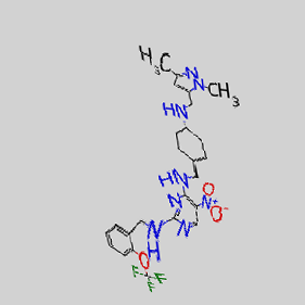 Cc1cc(CN[C@H]2CC[C@H](CNc3nc(NCc4ccccc4OC(F)(F)F)ncc3[N+](=O)[O-])CC2)n(C)n1